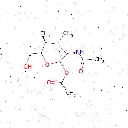 CC(=O)NC1C(OC(C)=O)OC(CO)[C@@H](C)[C@@H]1C